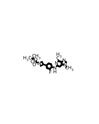 Cc1nc(Nc2ccc(C3CN(C(=O)OC(C)(C)C)C3)cc2F)cc2c1ncn2C